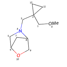 COCC1(CN2CC3CC2CO3)CC1